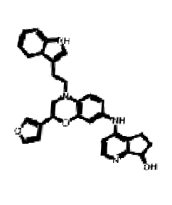 OC1CCc2c(Nc3ccc4c(c3)OC(c3ccoc3)CN4CCC3=CNC4=CC=CCC34)ccnc21